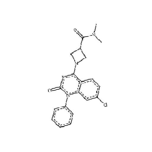 CN(C)C(=O)C1CN(c2nc(=O)n(-c3ccccc3)c3cc(Cl)ccc23)C1